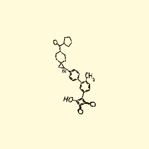 Cc1ccc(-c2c(O)c(=O)c2=O)cc1-c1ccc([C@H]2CC23CCC(C(=O)C2CCCC2)CC3)cc1